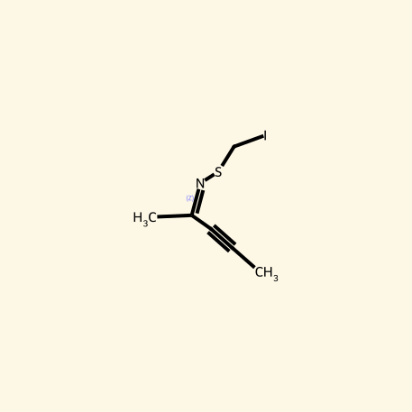 CC#C/C(C)=N\SCI